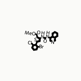 COC(=O)c1sc(-c2c(Cl)cccc2Br)cc1NC(=O)Nc1cncc2ccccc12